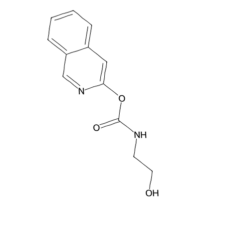 O=C(NCCO)Oc1cc2ccccc2cn1